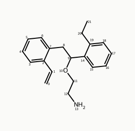 C=Cc1ccccc1CC(OCCN)c1ccccc1CC